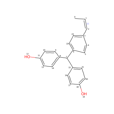 C/C=C\c1ccc(C(c2ccc(O)cc2)c2ccc(O)cc2)cc1